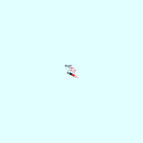 O.[MgH+].[OH-].[O]=[Ni]